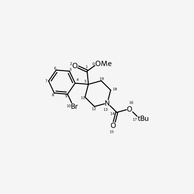 COC(=O)C1(c2ccccc2Br)CCN(C(=O)OC(C)(C)C)CC1